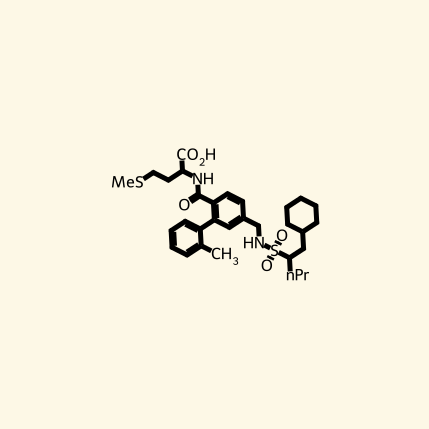 CCCC(CC1CCCCC1)S(=O)(=O)NCc1ccc(C(=O)NC(CCSC)C(=O)O)c(-c2ccccc2C)c1